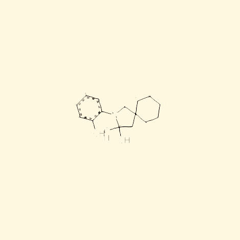 Cc1ccccc1N1CC2(CCCCC2)CC1(C)C